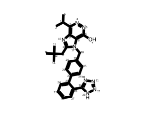 CC(C)c1nnc(O)c2c1nc(CC(C)(C)C)n2Cc1ccc(-c2ccccc2-c2nnn[nH]2)cc1